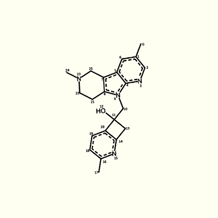 Cc1cnc2c(c1)c1c(n2CC2(O)Cc3nc(C)ccc32)CCN(C)C1